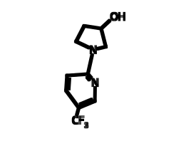 OC1CCN(c2ccc(C(F)(F)F)cn2)C1